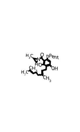 CCCCCc1cc(O)c(C/C=C(\C)CCC=C(C)C)c(O)c1C(=O)N1C[C@H]1C